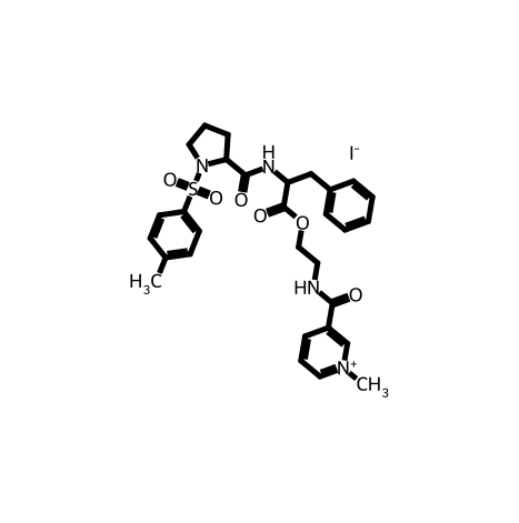 Cc1ccc(S(=O)(=O)N2CCCC2C(=O)NC(Cc2ccccc2)C(=O)OCCNC(=O)c2ccc[n+](C)c2)cc1.[I-]